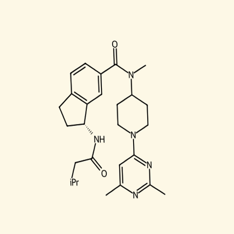 Cc1cc(N2CCC(N(C)C(=O)c3ccc4c(c3)[C@H](NC(=O)CC(C)C)CC4)CC2)nc(C)n1